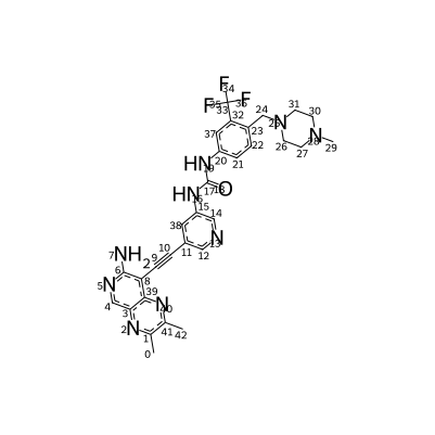 Cc1nc2cnc(N)c(C#Cc3cncc(NC(=O)Nc4ccc(CN5CCN(C)CC5)c(C(F)(F)F)c4)c3)c2nc1C